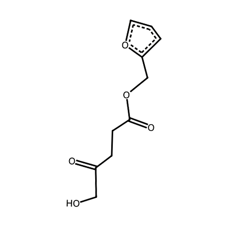 O=C(CO)CCC(=O)OCc1ccco1